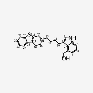 OCc1cccc2[nH]cc(CCCCN3CCc4c(sc5ccccc45)C3)c12